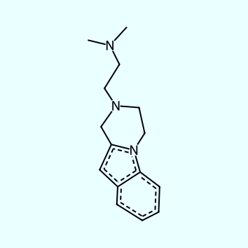 CN(C)CCN1CCn2c(cc3ccccc32)C1